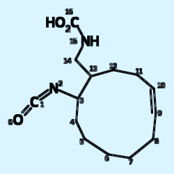 O=C=NC1CCCCC/C=C\CCC1CNC(=O)O